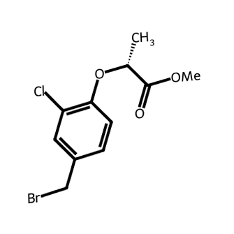 COC(=O)[C@@H](C)Oc1ccc(CBr)cc1Cl